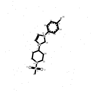 CS(=O)(=O)N1CCC(N2C=CN(c3ccc(F)cc3)C2)CC1